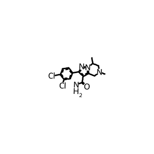 CC1CN(C)Cc2c(C(N)=O)c(-c3ccc(Cl)c(Cl)c3)nn21